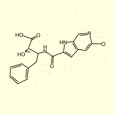 O=C(NC(Cc1ccccc1)[C@@H](O)C(=O)O)c1cc2cc(Cl)ncc2[nH]1